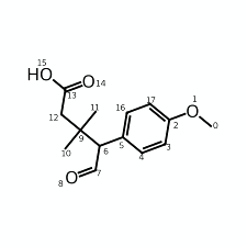 COc1ccc(C(C=O)C(C)(C)CC(=O)O)cc1